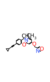 Cc1cc(OCc2cocn2)cc(=O)n1[C@H](C)c1ccc(C#CC2CC2)cc1